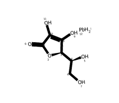 O=C1O[C@H]([C@@H](O)CO)C(O)=C1O.[PbH2]